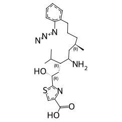 CC(C)[C@@H](C[C@@H](O)c1nc(C(=O)O)cs1)C(N)C[C@H](C)CCCc1ccccc1N=[N+]=[N-]